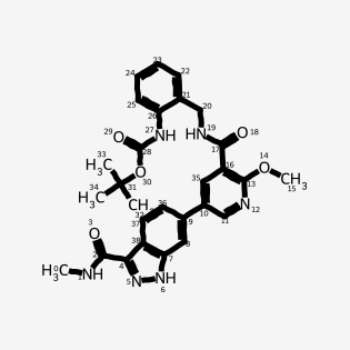 CNC(=O)c1n[nH]c2cc(-c3cnc(OC)c(C(=O)NCc4ccccc4NC(=O)OC(C)(C)C)c3)ccc12